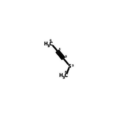 CC#CSC